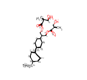 C=C(CO)C(=O)OCC(COC(=O)C(=C)CO)C1CCC(C2CCC(CCCCCCC)CC2)CC1